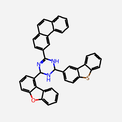 c1ccc2c(c1)ccc1ccc(C3=NC(c4cccc5oc6ccccc6c45)NC(c4ccc5sc6ccccc6c5c4)N3)cc12